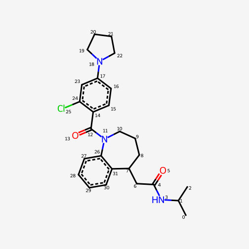 CC(C)NC(=O)CC1CCCN(C(=O)c2ccc(N3CCCC3)cc2Cl)c2ccccc21